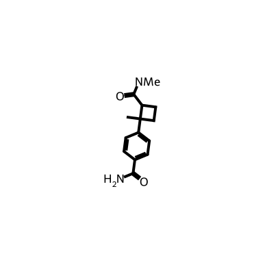 CNC(=O)C1CCC1(C)c1ccc(C(N)=O)cc1